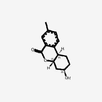 Cc1ccc2c(c1)C(=O)O[C@H]1C[C@H](O)CC[C@H]21